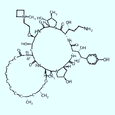 C[C@@H]1CCCCCCCCC(=O)N[C@H]2C[C@@H](O)[C@@H](OCC[N+]3(C)CCC3)NC(=O)[C@@H]3[C@@H](O)[C@@H](C)CN3C(=O)[C@H]([C@H](O)CCN)NC(=O)[C@H]([C@H](O)[C@@H](O)c3ccc(O)cc3)NC(=O)[C@@H]3C[C@@H](O)CN3C(=O)[C@@H](NC2=O)[C@@H](C)OC[C@H](C)C1